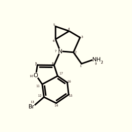 NCC1CC2CC2N1c1[c]oc2c(Br)cccc12